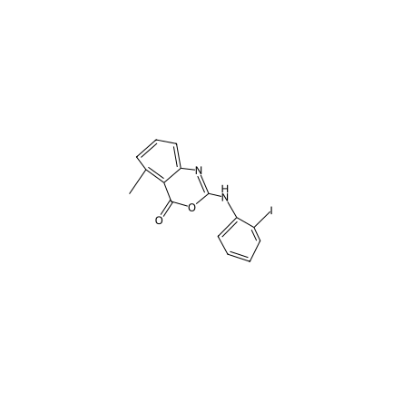 Cc1cccc2nc(Nc3ccccc3I)oc(=O)c12